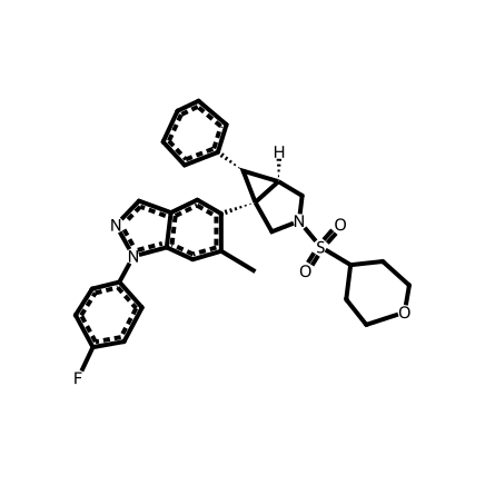 Cc1cc2c(cnn2-c2ccc(F)cc2)cc1[C@@]12CN(S(=O)(=O)C3CCOCC3)C[C@@H]1[C@H]2c1ccccc1